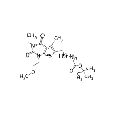 CCn1c(=O)c2c(C)c(CNNC(=O)OC(C)(C)C)sc2n(CCOC)c1=O